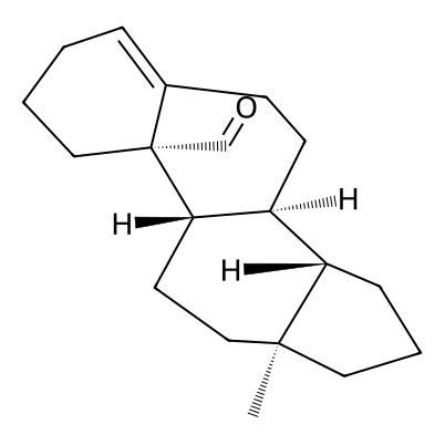 C[C@@]12CCC[C@H]1[C@@H]1CCC3=CCCC[C@]3(C=O)[C@H]1CC2